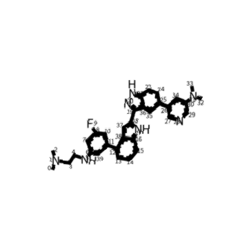 CN(C)CCNc1cc(F)cc(-c2cccc3[nH]c(-c4n[nH]c5ccc(-c6cncc(N(C)C)c6)cc45)cc23)c1